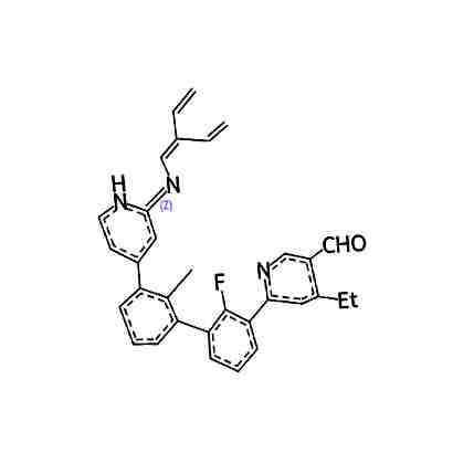 C=CC(C=C)=C/N=c1/cc(-c2cccc(-c3cccc(-c4cc(CC)c(C=O)cn4)c3F)c2C)cc[nH]1